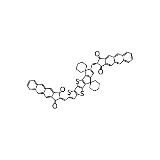 O=C1C(=CC2=CC3=C(c4sc5c(sc6cc(C=C7C(=O)c8cc9cc%10ccccc%10cc9cc8C7=O)sc65)c4C34CCCCC4)C23CCCCC3)C(=O)c2cc3cc4ccccc4cc3cc21